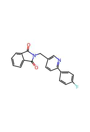 O=C1c2ccccc2C(=O)N1Cc1ccc(-c2ccc(F)cc2)nc1